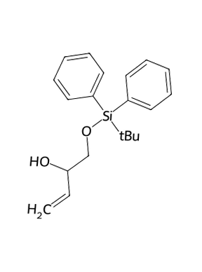 C=CC(O)CO[Si](c1ccccc1)(c1ccccc1)C(C)(C)C